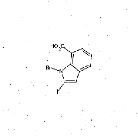 O=C(O)c1cccc2cc(I)n(Br)c12